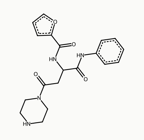 O=C(NC(CC(=O)N1CCNCC1)C(=O)Nc1ccccc1)c1ccco1